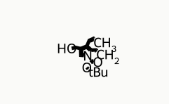 C=Cc1c(/C=C\C)c(CO)cn1C(=O)OC(C)(C)C